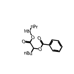 CCCCC(OC(=O)c1ccccc1)C(=O)ONCCC